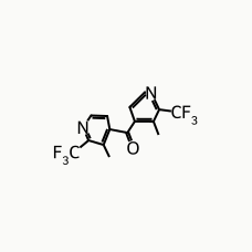 Cc1c(C(=O)c2ccnc(C(F)(F)F)c2C)ccnc1C(F)(F)F